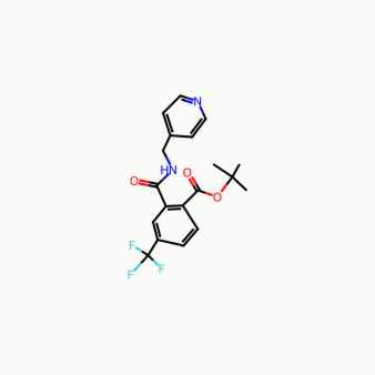 CC(C)(C)OC(=O)c1ccc(C(F)(F)F)cc1C(=O)NCc1ccncc1